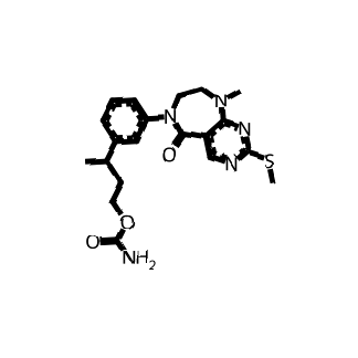 CSc1ncc2c(n1)N(C)CCN(c1cccc(C(C)CCOC(N)=O)c1)C2=O